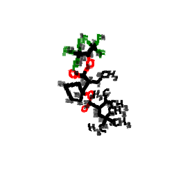 CCC(C(=O)OC(C(F)(F)F)C(F)(F)F)C1(OC(=O)C(CC(C)(C)C)C(C)C)CCCC1